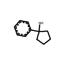 [NH]C1(c2ccccc2)CCCC1